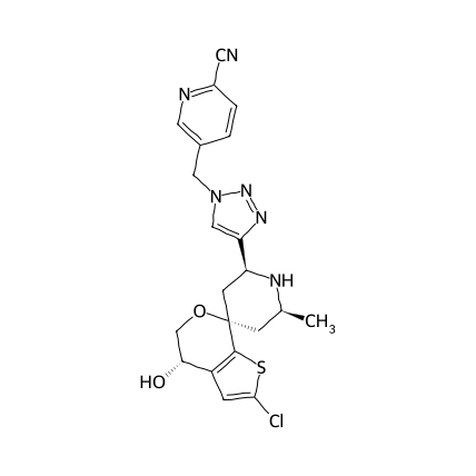 C[C@H]1C[C@@]2(C[C@@H](c3cn(Cc4ccc(C#N)nc4)nn3)N1)OC[C@@H](O)c1cc(Cl)sc12